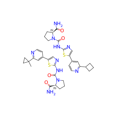 CC1(c2cc(-c3cnc(NC(=O)N4CCC[C@H]4C(N)=O)s3)ccn2)CC1.NC(=O)[C@@H]1CCCN1C(=O)Nc1ncc(-c2ccnc(C3CCC3)c2)s1